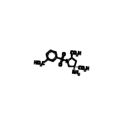 N[C@]1(C(=O)O)C[C@H](C(=O)O)N(S(=O)(=O)c2cccc(C(=O)O)c2)C1